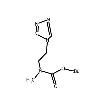 CN(CCn1[c]nnn1)C(=O)OC(C)(C)C